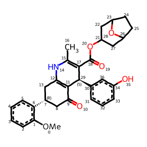 COc1ccccc1[C@H]1CC(=O)C2=C(C1)NC(C)=C(C(=O)OC1CC3CCC(C1)O3)[C@H]2c1cccc(O)c1